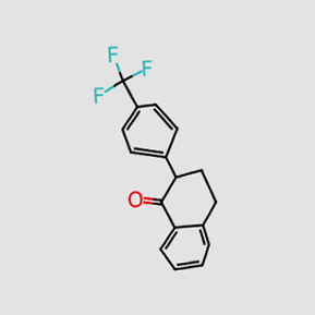 O=C1c2ccccc2CCC1c1ccc(C(F)(F)F)cc1